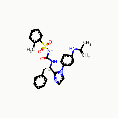 C=C(C)Nc1ccc(-n2ccnc2[C@H](Cc2ccccc2)NC(=O)NS(=O)(=O)c2ccccc2C)cc1